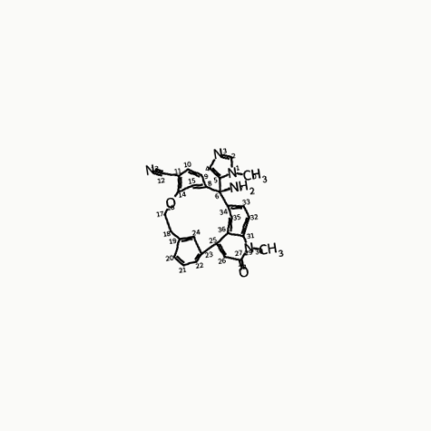 Cn1cncc1[C@@]1(N)c2ccc(C#N)c(c2)OCCc2cccc(c2)-c2cc(=O)n(C)c3ccc1cc23